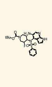 CC(C)(C)OC(=O)N1CCC(N(c2c(N)cnc3[nH]ccc23)S(=O)(=O)c2ccccc2)C(F)C1